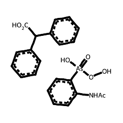 CC(=O)Nc1ccccc1[As](=O)(O)OO.O=C(O)C(c1ccccc1)c1ccccc1